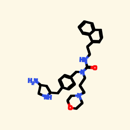 NC1CNC(Cc2ccc(CN(CCCN3CCOCC3)C(=O)NCCc3cccc4ccccc34)cc2)C1